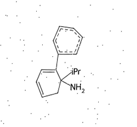 CC(C)C1(N)CC=CC=C1c1ccccc1